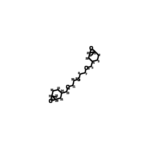 CC12CCC(COCCSCCOCC3CCC4(C)OC4C3)CC1O2